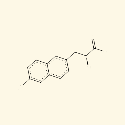 Nc1ccc2cc(C[C@H](N)C(=O)O)ccc2c1